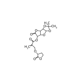 C=C(COC1CCOC1=O)C(=O)OC1C(=O)OC2C3OC(C)(C)OC3OC12